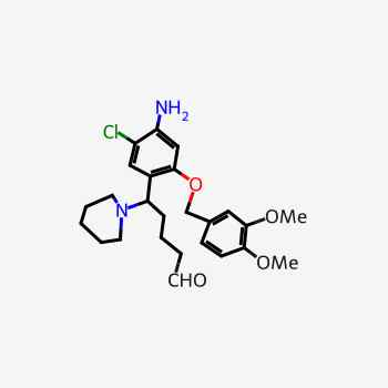 COc1ccc(COc2cc(N)c(Cl)cc2C(CCCC=O)N2CCCCC2)cc1OC